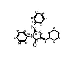 O=C1C(=CC2CCCCC2)SC(=Nc2ccccc2)N1c1ccccc1